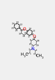 CCCN(CCC)[C@H]1CC[C@H](Oc2ccc3c(c2)CC[C@@H](c2ccccc2)O3)CC1